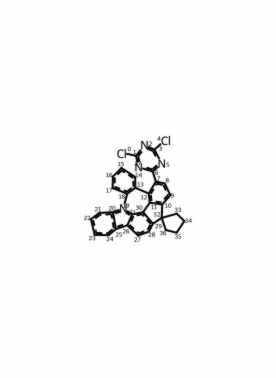 Clc1nc(Cl)nc(-c2ccc3c4c2-c2ccccc2-n2c5ccccc5c5ccc(c-4c52)C32CCCC2)n1